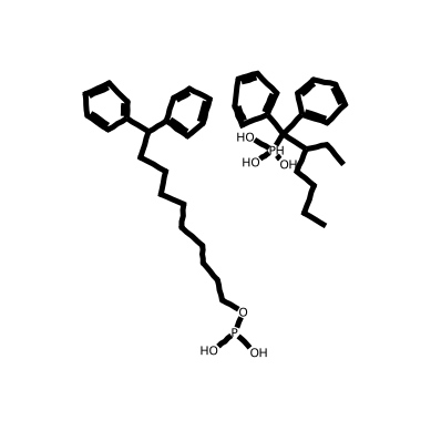 CCCCC(CC)C(c1ccccc1)(c1ccccc1)[PH](O)(O)O.OP(O)OCCCCCCCCCC(c1ccccc1)c1ccccc1